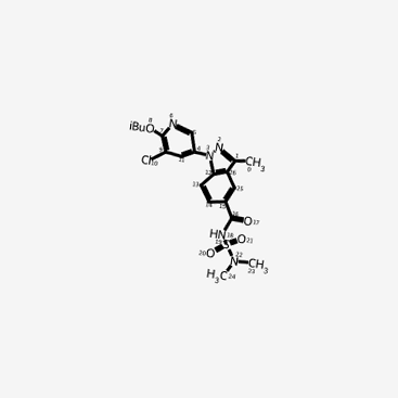 Cc1nn(-c2cnc(OCC(C)C)c(Cl)c2)c2ccc(C(=O)NS(=O)(=O)N(C)C)cc12